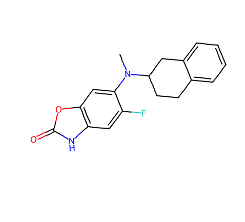 CN(c1cc2oc(=O)[nH]c2cc1F)C1CCc2ccccc2C1